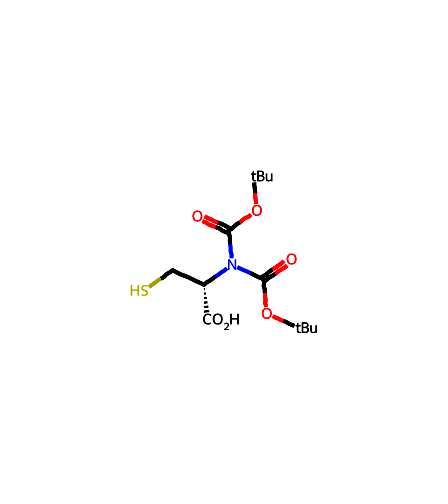 CC(C)(C)OC(=O)N(C(=O)OC(C)(C)C)[C@@H](CS)C(=O)O